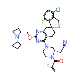 C=C(F)C(=O)N1CCN(c2nc(OC[C@H]3CCN3C3CCC3)nc3c2CC[C@@]2(CCc4c(Cl)cccc42)[C@H]3F)C[C@@H]1CC#N